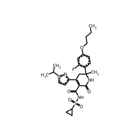 CCCCOc1ccc(C2(C)CC(c3ccn(C(C)C)n3)=C(C(=O)NS(=O)(=O)C3CC3)C(=O)N2)c(F)c1